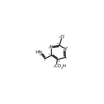 N=Cc1nc(Cl)ncc1C(=O)O